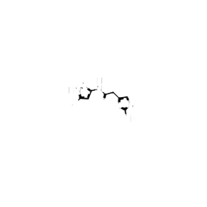 Cc1cc(NC(=O)Cc2cnc(C)s2)n[nH]1